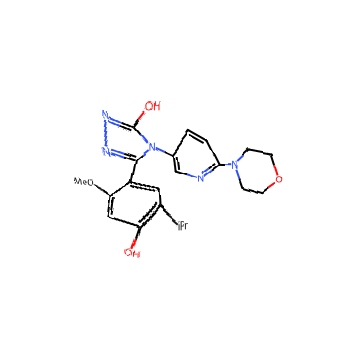 COc1cc(O)c(C(C)C)cc1-c1nnc(O)n1-c1ccc(N2CCOCC2)nc1